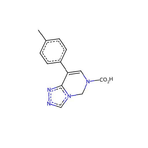 Cc1ccc(C2=CN(C(=O)O)Cn3cnnc32)cc1